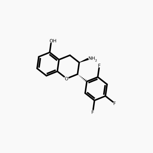 N[C@@H]1Cc2c(O)cccc2O[C@H]1c1cc(F)c(F)cc1F